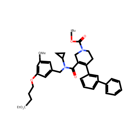 CCOC(=O)CCCOc1cc(CN(C(=O)C2=C(c3cccc(-c4ccccc4)c3)CCN(C(=O)OC(C)(C)C)C2)C2CC2)cc(OC)c1